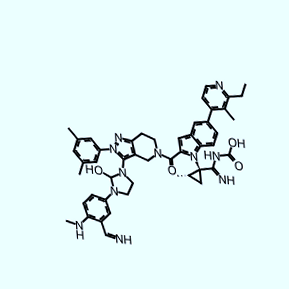 CCc1nccc(-c2ccc3c(c2)cc(C(=O)N2CCc4nn(-c5cc(C)cc(C)c5)c(N5CCN(c6ccc(NC)c(C=N)c6)C5O)c4C2)n3[C@@]2(C(=N)NC(=O)O)C[C@@H]2C)c1C